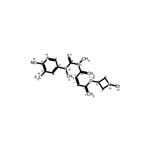 C=C(/C=C\C(=C)N(C)C(=S)N(C)c1cnc(C#N)c(C(F)(F)F)c1)OC1CN(CC)C1